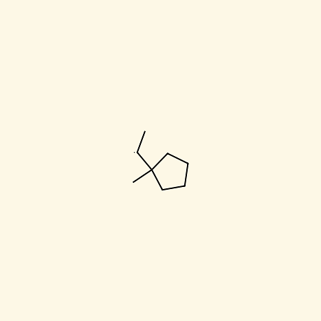 C[CH]C1(C)CCCC1